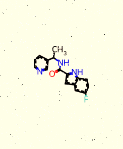 CC(NC(=O)c1cc2cc(F)ccc2[nH]1)c1cccnc1